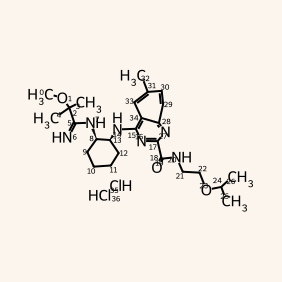 COC(C)(C)C(=N)N[C@@H]1CCCC[C@@H]1Nc1nc(C(=O)NCCOC(C)C)nc2ccc(C)cc12.Cl.Cl